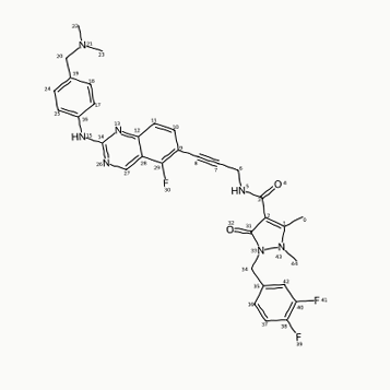 Cc1c(C(=O)NCC#Cc2ccc3nc(Nc4ccc(CN(C)C)cc4)ncc3c2F)c(=O)n(Cc2ccc(F)c(F)c2)n1C